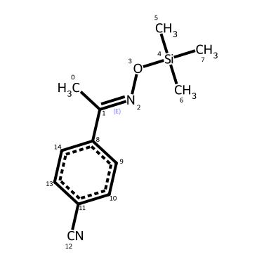 C/C(=N\O[Si](C)(C)C)c1ccc(C#N)cc1